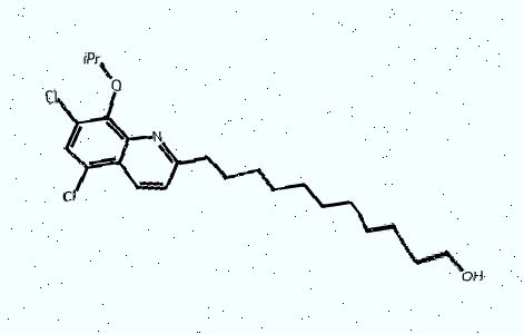 CC(C)Oc1c(Cl)cc(Cl)c2ccc(CCCCCCCCCCCO)nc12